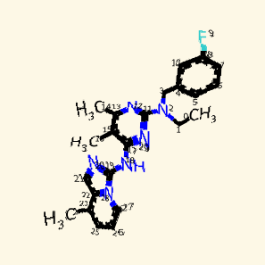 CCN(Cc1cccc(F)c1)c1nc(C)c(C)c(Nc2ncc3c(C)cccn23)n1